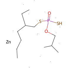 CCCCC(CC)CSP(=O)(S)OCC(C)C.[Zn]